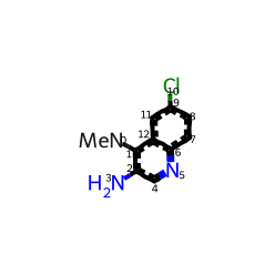 CNc1c(N)cnc2ccc(Cl)cc12